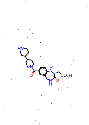 O=C(O)C[C@@H]1Nc2ccc(C(=O)N3CCC(C4CCNCC4)CC3)cc2CNC1=O